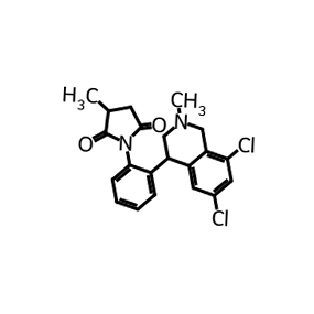 CC1CC(=O)N(c2ccccc2C2CN(C)Cc3c(Cl)cc(Cl)cc32)C1=O